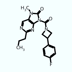 CCCc1ncc2c(n1)n(C(=O)N1CC(c3ccc(F)cc3)C1)c(=O)n2C